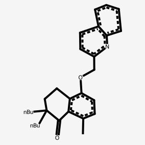 CCCCC1(CCCC)CCc2c(OCc3ccc4ccccc4n3)ccc(C)c2C1=O